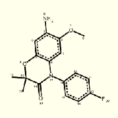 COc1cc2c(cc1N)OC(C)(C)C(=O)N2c1ccc(F)cc1